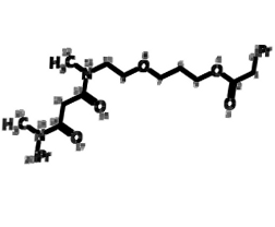 CC(C)CC(=O)OCCCOCCN(C)C(=O)CC(=O)N(C)C(C)C